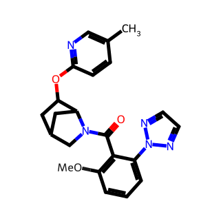 COc1cccc(-n2nccn2)c1C(=O)N1CC2CC(Oc3ccc(C)cn3)C1C2